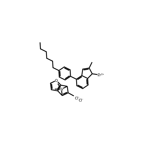 CC1=C2c3ccoc3C1[Si]2(C)C.CCCCCCc1ccc(-c2cccc3c2C=C(C)[CH]3[Zr+2])cc1.[Cl-].[Cl-]